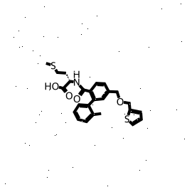 CSCC[C@H](NC(=O)c1ccc(COCc2cccs2)cc1-c1ccccc1C)C(=O)O